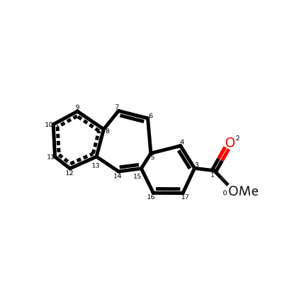 COC(=O)C1=CC2C=Cc3ccccc3C=C2C=C1